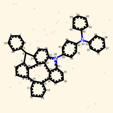 c1ccc(C2c3cccc4c5ccccc5c5cccc6c5c5c(c2ccc5n6-c2ccc(N(c5ccccc5)c5ccccc5)cc2)c34)cc1